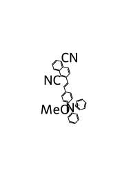 CO[N+](c1ccccc1)(c1ccccc1)c1ccc(C=Cc2ccc3c(C#N)cccc3c2C#N)cc1